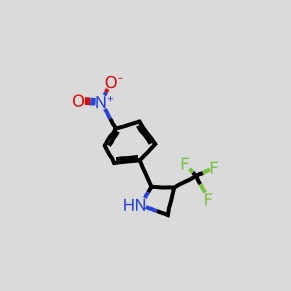 O=[N+]([O-])c1ccc(C2NCC2C(F)(F)F)cc1